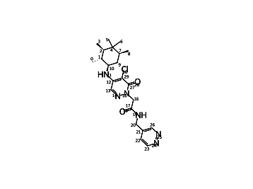 C[C@@H]1[C@@H](C)C(C)(C)[C@@H](C)C[C@H]1Nc1cnn(CC(=O)NCc2ccnnc2)c(=O)c1Cl